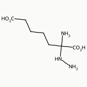 NNC(N)(CCCCC(=O)O)C(=O)O